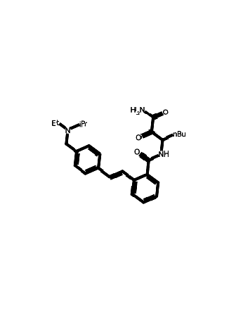 CCCCC(NC(=O)c1ccccc1C=Cc1ccc(CN(CC)C(C)C)cc1)C(=O)C(N)=O